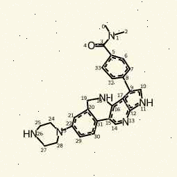 CN(C)C(=O)c1ccc(-c2c[nH]c3ncc4c(c23)NCc2cc(N3CCNCC3)ccc2-4)cc1